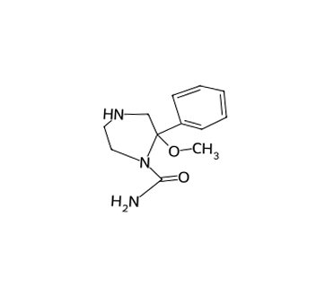 COC1(c2ccccc2)CNCCN1C(N)=O